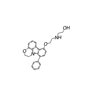 OCCNCCOc1ccc(-c2ccccc2)c2c1c1cccc3c1n2CCO3